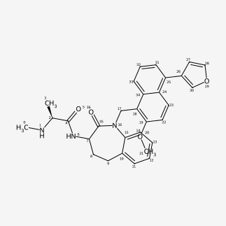 CN[C@@H](C)C(=O)NC1CCc2ccccc2N(Cc2c(OC)ccc3c(-c4ccoc4)cccc23)C1=O